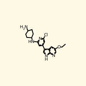 CCOc1cnc2[nH]cc(-c3cc(Cl)nc(NC4CCC(N)CC4)c3)c2c1